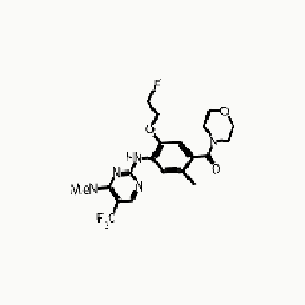 CNc1nc(Nc2cc(C)c(C(=O)N3CCOCC3)cc2OCCF)ncc1C(F)(F)F